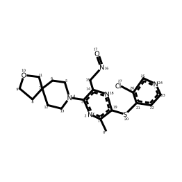 Cc1nc(N2CCC3(CCOC3)CC2)c(CN=O)nc1Sc1ccncc1Cl